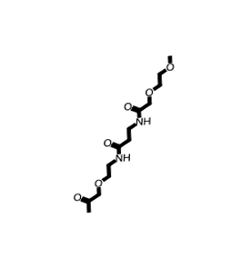 COCCOCC(=O)NCCC(=O)NCCOCC(C)=O